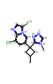 CC1CC(c2cc(Cl)c3ncc(F)n3c2)(c2nncn2C)C1